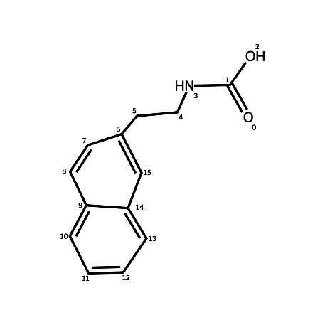 O=C(O)NCCc1ccc2ccccc2c1